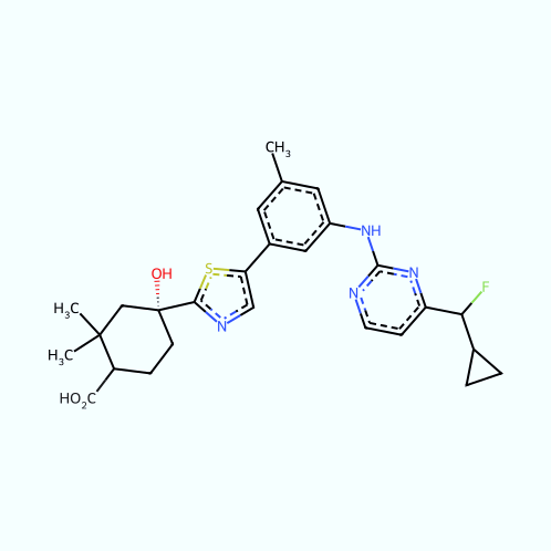 Cc1cc(Nc2nccc(C(F)C3CC3)n2)cc(-c2cnc([C@@]3(O)CCC(C(=O)O)C(C)(C)C3)s2)c1